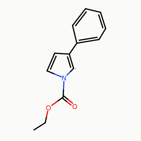 CCOC(=O)n1[c]c(-c2ccccc2)cc1